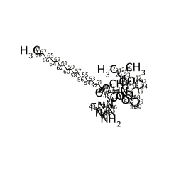 C#C[C@]1(CO[P@@](=O)(N[C@@H](Cc2ccccc2)C(=O)OC(CCC)CCC)Oc2ccccc2)O[C@@H](n2cnc3c(N)nc(F)nc32)C[C@@H]1OC(=O)CCCCCCCCCCCCCCCCCCC